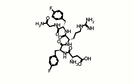 N=C(N)NCCC[C@H](NC(=O)[C@H](Cc1ccc(F)cc1)NC(=O)[C@@H](N)CC(=O)O)C(=O)N[C@@H](Cc1ccc(F)cc1)C(=O)NCC(N)=O